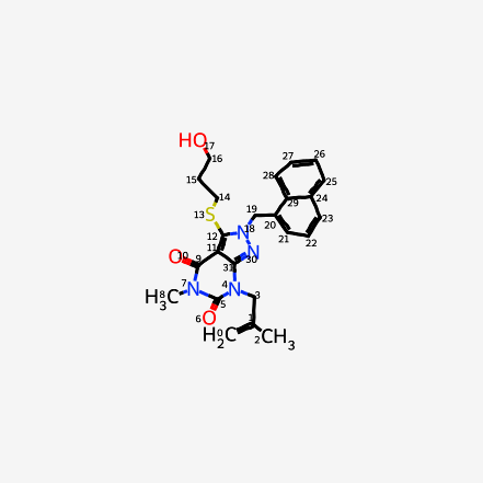 C=C(C)Cn1c(=O)n(C)c(=O)c2c(SCCCO)n(Cc3cccc4ccccc34)nc21